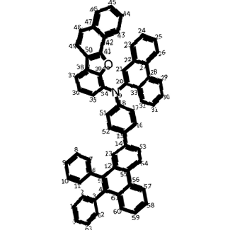 c1ccc(-c2c(-c3ccccc3)c3cc(-c4ccc(N(c5cc6ccccc6c6ccccc56)c5cccc6c5oc5c7ccccc7ccc65)cc4)ccc3c3ccccc23)cc1